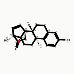 C[C@]12CC[C@@H]3c4ccc(O)cc4CC[C@H]3[C@@]13C=C[C@]2(O)C(=O)C3